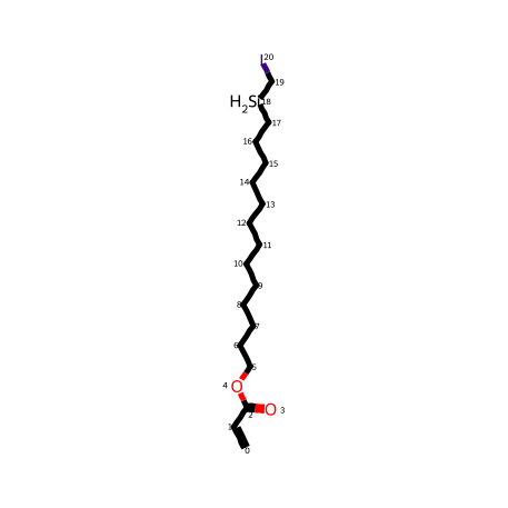 C=CC(=O)OCCCCCCCCCCCCC[SiH2]CI